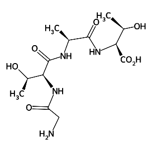 C[C@H](NC(=O)[C@@H](NC(=O)CN)[C@@H](C)O)C(=O)N[C@H](C(=O)O)[C@@H](C)O